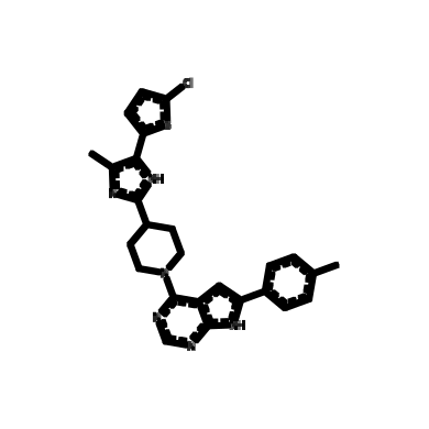 Cc1ccc(-c2cc3c(N4CCC(c5nc(C)c(-c6ccc(Cl)s6)[nH]5)CC4)ncnc3[nH]2)cc1